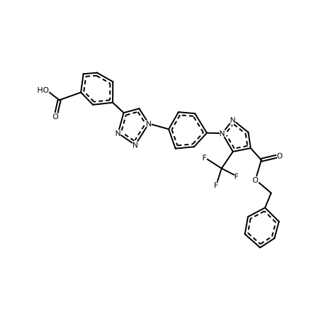 O=C(O)c1cccc(-c2cn(-c3ccc(-n4ncc(C(=O)OCc5ccccc5)c4C(F)(F)F)cc3)nn2)c1